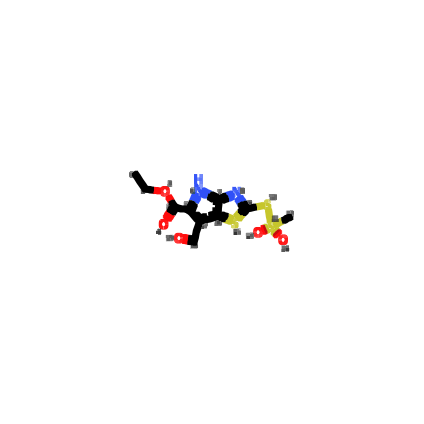 CCOC(=O)c1[nH]c2nc(SS(C)(=O)=O)sc2c1C=O